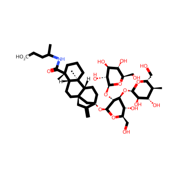 C=C1C[C@@]23CC[C@H]4[C@@](C)(CCC[C@@]4(C)C(=O)NC(C)CCC(=O)O)[C@@H]2CC[C@]1(O[C@@H]1O[C@H](CO)[C@@H](O)[C@H](O[C@@H]2O[C@H](CO)[C@@H](C)[C@H](O)[C@H]2O)[C@H]1O[C@@H]1O[C@H](CO)[C@@H](O)[C@H](O)[C@H]1O)C3